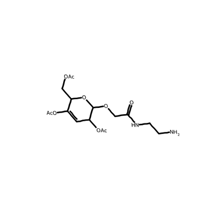 CC(=O)OCC1OC(OCC(=O)NCCN)C(OC(C)=O)C=C1OC(C)=O